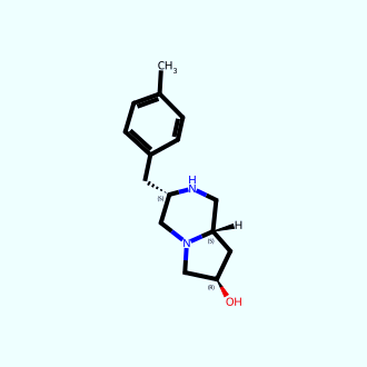 Cc1ccc(C[C@H]2CN3C[C@H](O)C[C@H]3CN2)cc1